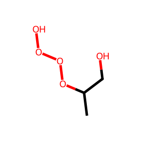 CC(CO)OOOO